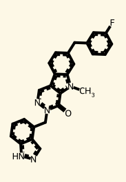 Cn1c2cc(Cc3cccc(F)c3)ccc2c2cnn(Cc3cccc4[nH]ncc34)c(=O)c21